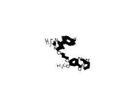 COc1cc2c(cc1OCCCOc1cc(-c3ccc(F)cc3)nc(C)n1)N=C[C@@H]1CCCN1C2=O